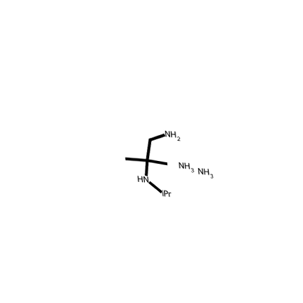 CC(C)NC(C)(C)CN.N.N